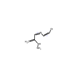 C=C(/C=N\C=C/CC)NN